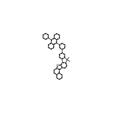 CC1(C)c2cc(-c3cccc(-c4c5ccccc5c(-c5ccccc5)c5ccccc45)c3)ccc2-c2c1ccc1c2oc2ccc3ccccc3c21